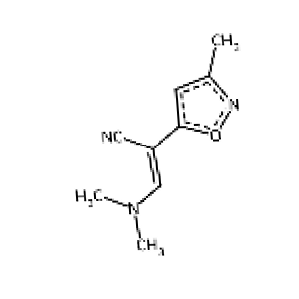 Cc1cc(C(C#N)=CN(C)C)on1